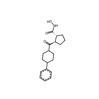 O=C(NO)[C@@H]1CCC[C@H]1C(=O)N1CCC(c2ccccc2)CC1